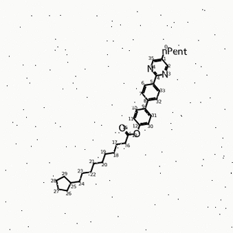 CCCCCc1cnc(-c2ccc(-c3ccc(OC(=O)CCCCCCCCCC4CCCC4)cc3)cc2)nc1